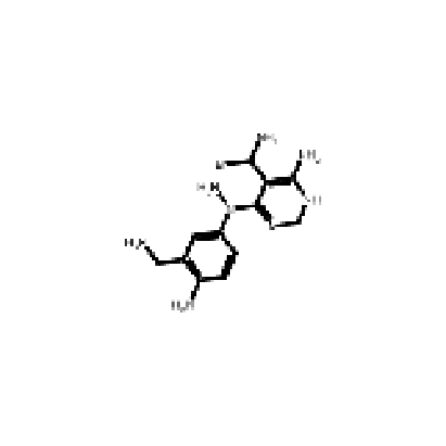 NCc1cc(N(N)C2=NCNC(N)=C2C(N)Br)ccc1N